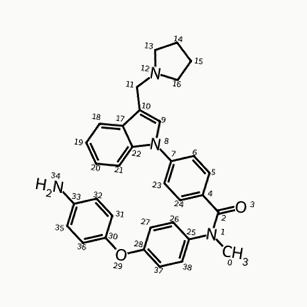 CN(C(=O)c1ccc(-n2cc(CN3CCCC3)c3ccccc32)cc1)c1ccc(Oc2ccc(N)cc2)cc1